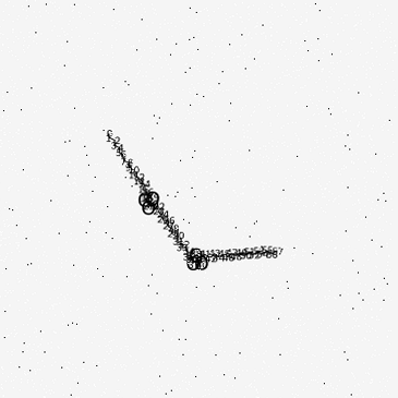 CCCCCCCC/C=C/CCCCCCCC(=O)OC(=O)CCCCCCCCCCCCCCC(=O)OC(=O)CCCCCCC/C=C/CCCCCCCC